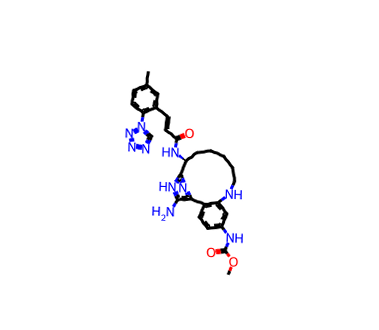 COC(=O)Nc1ccc2c(c1)NCCCCC[C@H](NC(=O)/C=C/c1cc(C)ccc1-n1cnnn1)c1nc-2c(N)[nH]1